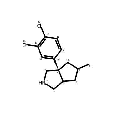 CC1CC2CNC[C@]2(c2ccc(Cl)c(Cl)c2)C1